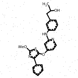 COc1nc(-c2ccccc2)c(Oc2ccnc(Nc3cccc(CC(C)O)c3)c2)s1